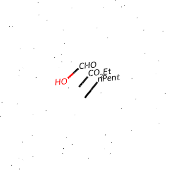 CCCCCC.CCOC(C)=O.O=CO